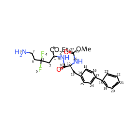 CCOC(=O)[C@H](CC(F)(F)CCN)NC(=O)[C@H](Cc1ccc(-c2ccccc2)cc1)NC(=O)OC